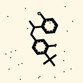 CC(Cc1ccc(C(C)(C)C)c(F)c1)c1ccccc1Cl